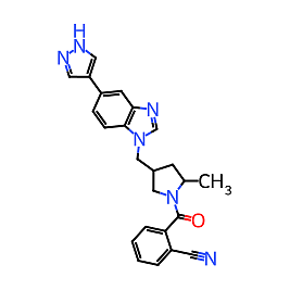 CC1CC(Cn2cnc3cc(-c4cn[nH]c4)ccc32)CN1C(=O)c1ccccc1C#N